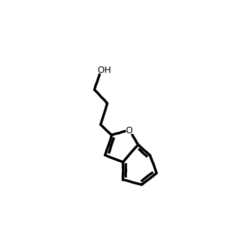 OCCCc1cc2ccccc2o1